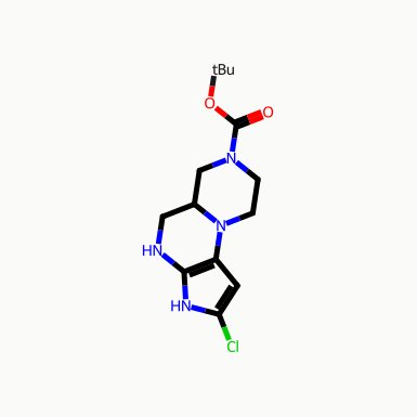 CC(C)(C)OC(=O)N1CCN2c3cc(Cl)[nH]c3NCC2C1